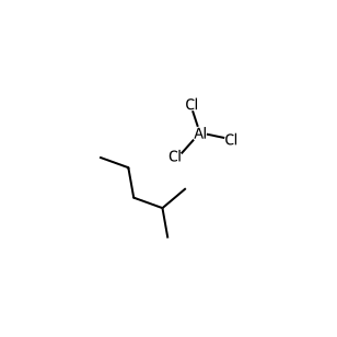 CCCC(C)C.[Cl][Al]([Cl])[Cl]